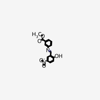 COC(=O)c1cccc(/N=C/c2cc([N+](=O)[O-])ccc2O)c1